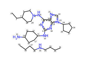 CCC1CCN(Nc2nc(NC3CCC(N)CC3)nc3c2ncn3C2CCCC2)CC1.CCCCNCCCC